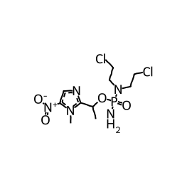 CC(OP(N)(=O)N(CCCl)CCCl)c1ncc([N+](=O)[O-])n1C